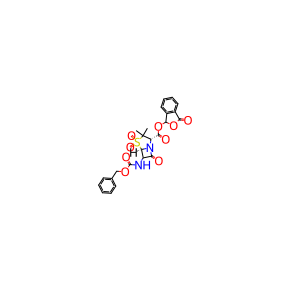 CC1(C)[C@H](C(=O)OC2OC(=O)c3ccccc32)N2C(=O)C(NC(=O)OCc3ccccc3)[C@H]2S1(=O)=O